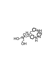 Cc1cccc(Nc2cc(Nc3ccc(OCC(=O)N(CCO)CCO)cc3)ncn2)c1